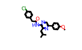 COc1ccc(-c2cnc(NC(=O)Cc3ccc(Cl)cc3)c(C=C(C)C)n2)cc1